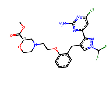 COC(=O)[C@H]1CN(CCOc2ccccc2Cc2cn(C(F)F)nc2-c2cc(Cl)nc(N)n2)CCO1